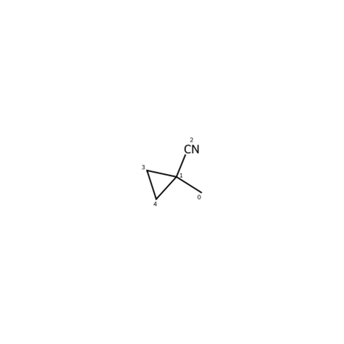 CC1(C#N)CC1